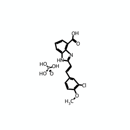 COc1ccc(/C=C/c2nc3c(C(=O)O)cccc3[nH]2)cc1Cl.O=P(O)(O)O